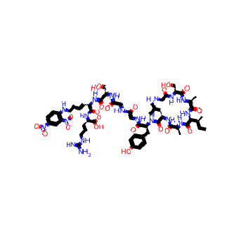 CC[C@H](C)[C@H](NC(=O)[C@H](C)NC(=O)[C@H](CO)NC(=O)CN)C(=O)N[C@@H](C)C(=O)N[C@@H](CC(C)C)C(=O)N[C@@H](Cc1ccc(O)cc1)C(=O)NCC(=O)NCC(=O)N[C@@H](CO)C(=O)N[C@@H](CCCCNc1ccc([N+](=O)[O-])cc1[N+](=O)[O-])C(=O)N[C@H](CCCNC(=N)N)C(=O)O